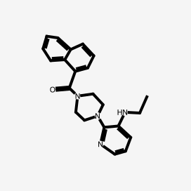 CCNc1cccnc1N1CCN(C(=O)c2cccc3ccccc23)CC1